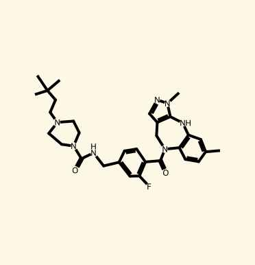 Cc1ccc2c(c1)Nc1c(cnn1C)CN2C(=O)c1ccc(CNC(=O)N2CCN(CCC(C)(C)C)CC2)cc1F